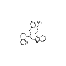 NCCCCn1c(CN(CCc2ccccc2)C2CCCc3cccnc32)nc2ccccc21